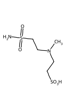 CN(CCS(N)(=O)=O)CCS(=O)(=O)O